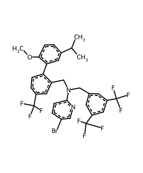 COc1ccc(C(C)C)cc1-c1ccc(C(F)(F)F)cc1CN(Cc1cc(C(F)(F)F)cc(C(F)(F)F)c1)c1ccc(Br)cn1